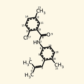 CC(C)=Cc1cc(NC(=O)c2cc(C)ccc2Cl)ccc1C